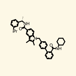 Cc1c(C)n(Cc2ccc(-c3ccccc3C(=O)NC3CCCCC3)cc2)c2ccc(C(=O)N[C@@H](C)c3cccc(C(C)C)c3)cc12